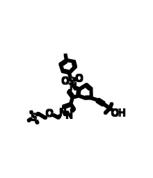 Cc1ccc(S(=O)(=O)n2cc(-c3cnn(COCCS(C)(C)C)c3)c3cc(C#CC(C)(C)O)ccc32)cc1